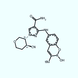 CC(C)(C)C1=Cc2cc(Nc3nn([C@H]4COCC[C@@H]4C#N)cc3C(N)=O)ccc2OB1O